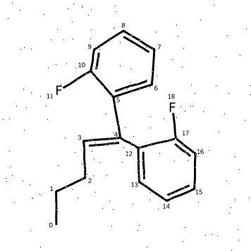 CCCC=C(c1ccccc1F)c1ccccc1F